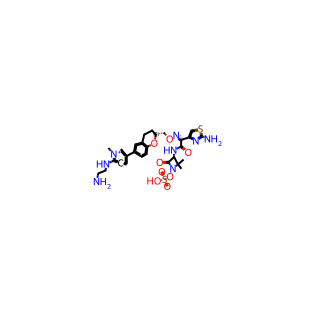 C[n+]1cc(-c2ccc3c(c2)CC[C@H](CO/N=C(\C(=O)NC2C(=O)N(OS(=O)(=O)O)C2(C)C)c2csc(N)n2)O3)ccc1NCCN